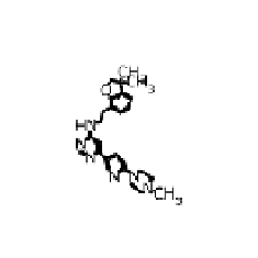 CN1CCN(c2ccc(-c3cc(NCCc4cccc5c4OCC5(C)C)ncn3)cn2)CC1